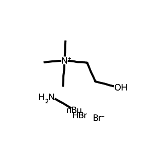 Br.CCCCN.C[N+](C)(C)CCO.[Br-]